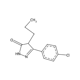 CCCC1C(=O)NN=C1c1ccc(Cl)cc1